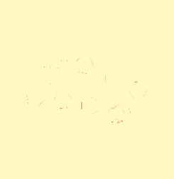 c1ccc(C2(c3ccccc3)COB(Oc3ccc(OB4OC(c5ccccc5)(c5ccccc5)C(c5ccccc5)(c5ccccc5)O4)cc3)O2)cc1